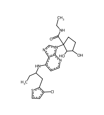 CCNC(=O)C1(n2cnc3c(NC(CC)Cc4sccc4Cl)ccnc32)CCC(O)C1O